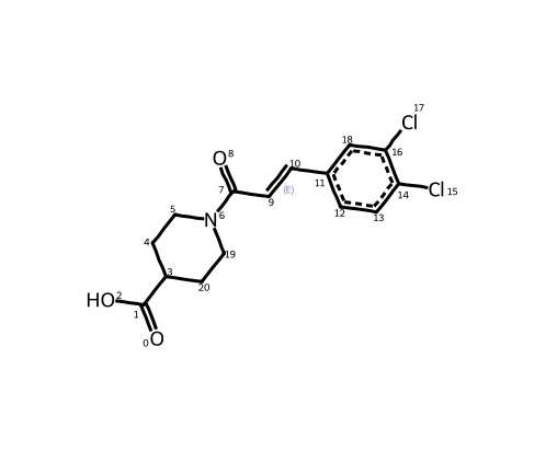 O=C(O)C1CCN(C(=O)/C=C/c2ccc(Cl)c(Cl)c2)CC1